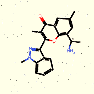 Cc1cc([C@@H](C)N)c2oc(-c3nn(C)c4ccccc34)c(C)c(=O)c2c1